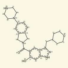 O=C(c1cc2c(CC3CCOCC3)n[nH]c2cc1O)N1Cc2ccc(N3CCNCC3)cc2C1